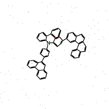 c1ccc(-c2ccccc2N(c2ccc(-c3ccc4ccc5ccc6ccccc6c5c4c3)cc2)c2ccc(-c3cc4ccccc4c4ccccc34)cc2)cc1